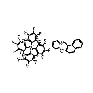 Fc1c(F)c(F)c([B-](c2c(F)c(F)c(F)c(F)c2F)(c2c(F)c(F)c(F)c(F)c2F)c2c(F)c(F)c(F)c(F)c2F)c(F)c1F.N#Cc1cccc[n+]1Cc1cccc2ccccc12